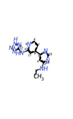 CCNc1cc(-c2ccnc(Nc3nn[nH]n3)c2)ncn1